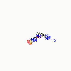 Nc1ncc(-c2ccc(C3(c4noc(-c5ccc(N6CCS(=O)(=O)CC6)nc5)n4)CCC3)cc2)cn1